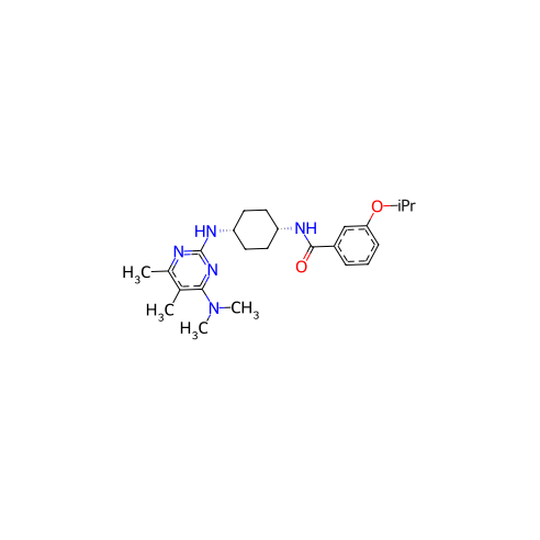 Cc1nc(N[C@H]2CC[C@@H](NC(=O)c3cccc(OC(C)C)c3)CC2)nc(N(C)C)c1C